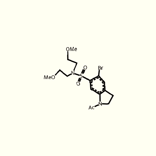 COCCN(CCOC)S(=O)(=O)c1cc2c(cc1Br)CCN2C(C)=O